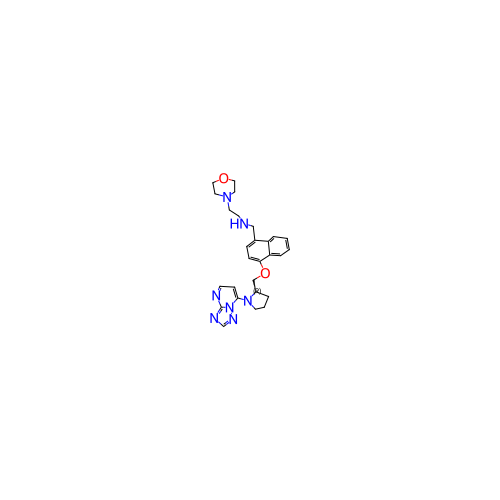 c1ccc2c(OC[C@H]3CCCN3c3ccnc4ncnn34)ccc(CNCCN3CCOCC3)c2c1